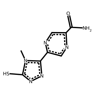 Cn1c(S)nnc1-c1cnc(C(N)=O)cn1